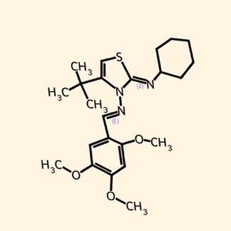 COc1cc(OC)c(OC)cc1/C=N/n1c(C(C)(C)C)cs/c1=N\C1CCCCC1